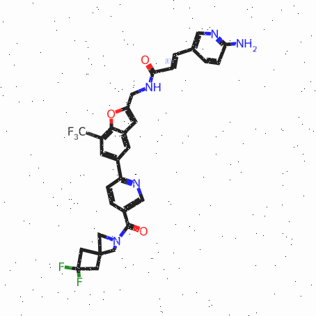 Nc1ccc(/C=C/C(=O)NCc2cc3cc(-c4ccc(C(=O)N5CC6(C5)CC(F)(F)C6)cn4)cc(C(F)(F)F)c3o2)cn1